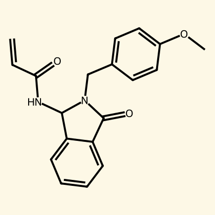 C=CC(=O)NC1c2ccccc2C(=O)N1Cc1ccc(OC)cc1